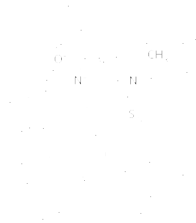 CN1C[N+]2([O-])CC=C3C=CC=C(S1)C32